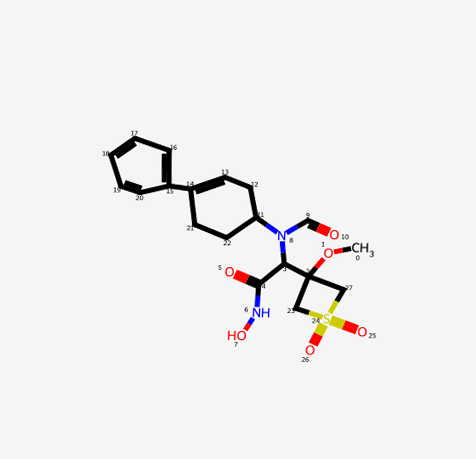 COC1(C(C(=O)NO)N(C=O)C2CC=C(c3ccccc3)CC2)CS(=O)(=O)C1